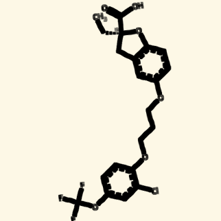 CC[C@@]1(C(=O)O)Cc2cc(OCCCOc3ccc(OC(F)(F)F)cc3Cl)ccc2O1